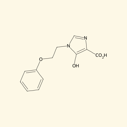 O=C(O)c1ncn(CCOc2ccccc2)c1O